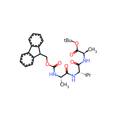 CC(C)[C@H](NC(=O)[C@H](C)NC(=O)OCC1c2ccccc2-c2ccccc21)C(=O)N[C@H](C)C(=O)OC(C)(C)C